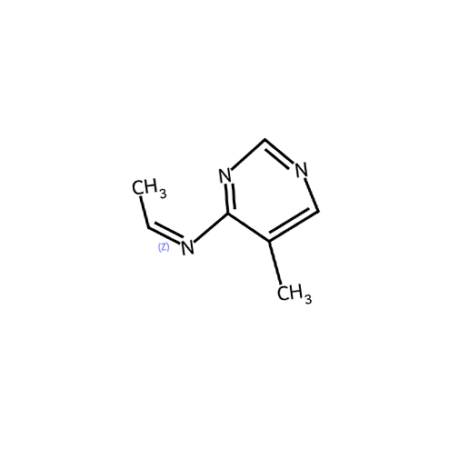 C/C=N\c1ncncc1C